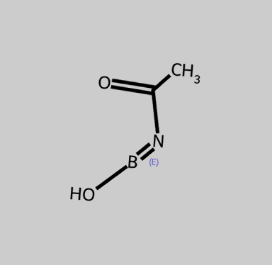 CC(=O)/N=B/O